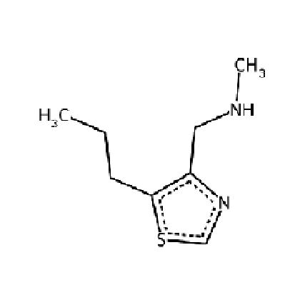 CCCc1scnc1CNC